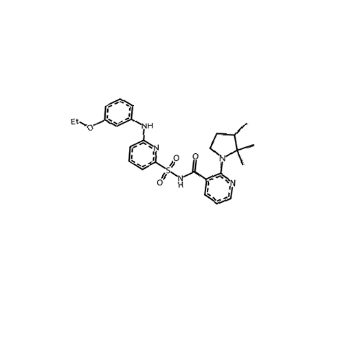 CCOc1cccc(Nc2cccc(S(=O)(=O)NC(=O)c3cccnc3N3CCC(C)C3(C)C)n2)c1